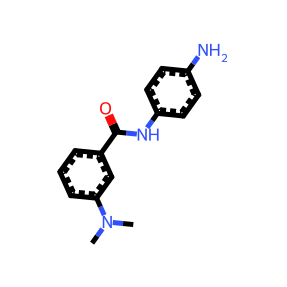 CN(C)c1cccc(C(=O)Nc2ccc(N)cc2)c1